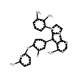 Cc1cccc(Oc2ccc(-c3c4c(N)ncnc4n4ccn(-c5cccc([N+](=O)[O-])c5C)c34)cc2F)n1